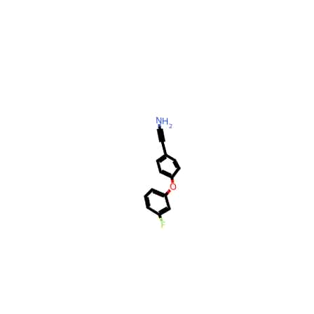 NC#Cc1ccc(Oc2cccc(F)c2)cc1